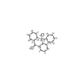 O=C1c2ccccc2C(Cl)(c2ccccc2)c2ccccc21